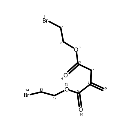 C=C(CC(=O)OCCBr)C(=O)OCCBr